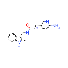 Cc1[nH]c2ccccc2c1CN(C)C(=O)/C=C/c1ccc(N)nc1